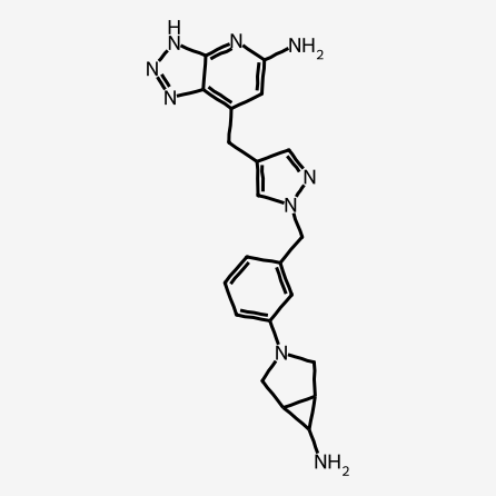 Nc1cc(Cc2cnn(Cc3cccc(N4CC5C(N)C5C4)c3)c2)c2nn[nH]c2n1